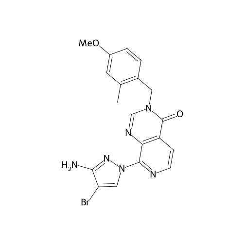 COc1ccc(Cn2cnc3c(-n4cc(Br)c(N)n4)nccc3c2=O)c(C)c1